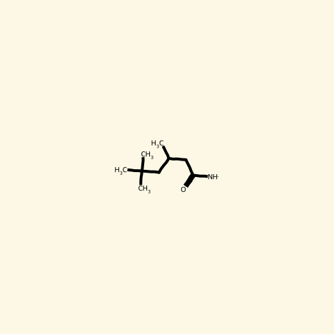 CC(CC([NH])=O)CC(C)(C)C